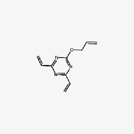 C=CCOc1nc(C=C)nc(C=C)n1